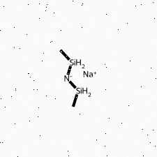 C[SiH2][N-][SiH2]C.[Na+]